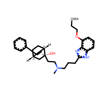 COCCOc1cccc2[nH]c(CCCN(C)CC[C@@]3(O)C[C@@H]4CC[C@H]3C=C4c3ccccc3)nc12